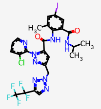 Cc1cc(I)cc(C(=O)NC(C)C)c1NC(=O)c1cc(Cn2ncc(C(F)(F)C(F)(F)F)n2)nn1-c1ncccc1Cl